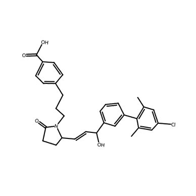 Cc1cc(Cl)cc(C)c1-c1cccc(C(O)/C=C/C2CCC(=O)N2CCCc2ccc(C(=O)O)cc2)c1